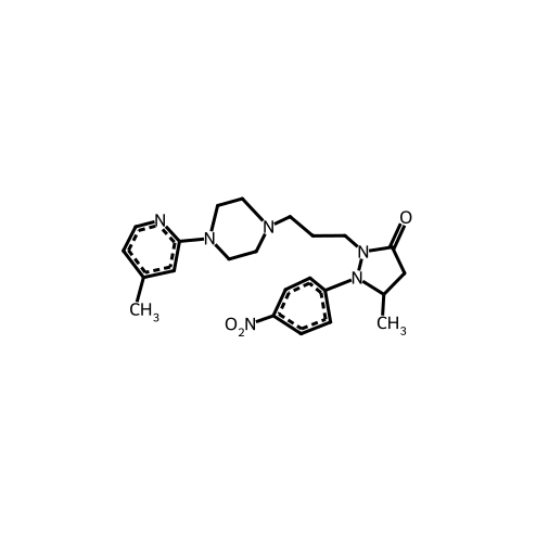 Cc1ccnc(N2CCN(CCCN3C(=O)CC(C)N3c3ccc([N+](=O)[O-])cc3)CC2)c1